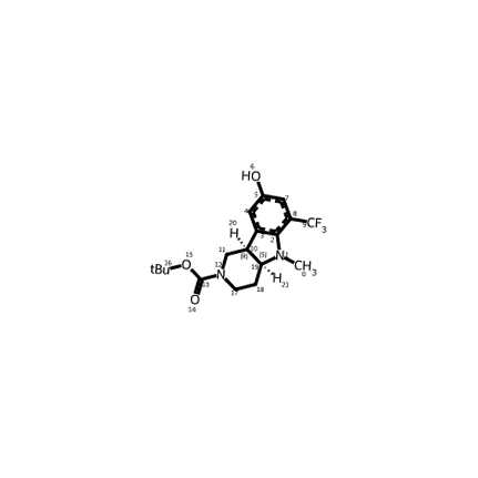 CN1c2c(cc(O)cc2C(F)(F)F)[C@@H]2CN(C(=O)OC(C)(C)C)CC[C@@H]21